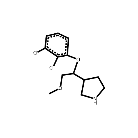 COCC(Oc1cccc(Cl)c1Cl)C1CCNC1